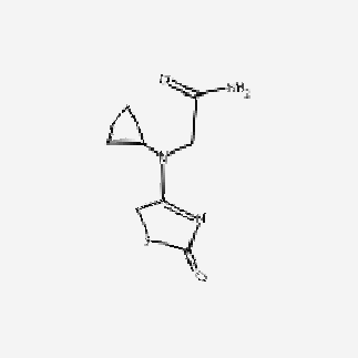 NC(=O)CN(C1=NC(=O)SC1)C1CC1